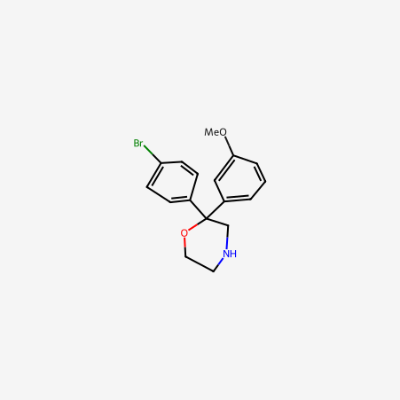 COc1cccc(C2(c3ccc(Br)cc3)CNCCO2)c1